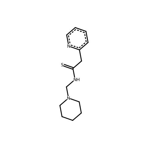 S=C(Cc1ccccn1)NCN1CCCCC1